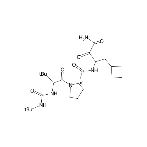 CC(C)(C)NC(=O)NC(C(=O)N1CCC[C@H]1C(=O)NC(CC1CCC1)C(=O)C(N)=O)C(C)(C)C